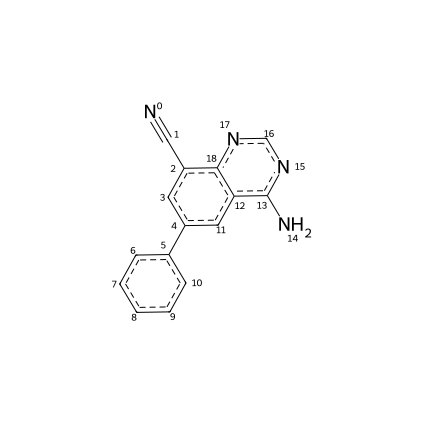 N#Cc1cc(-c2ccccc2)cc2c(N)ncnc12